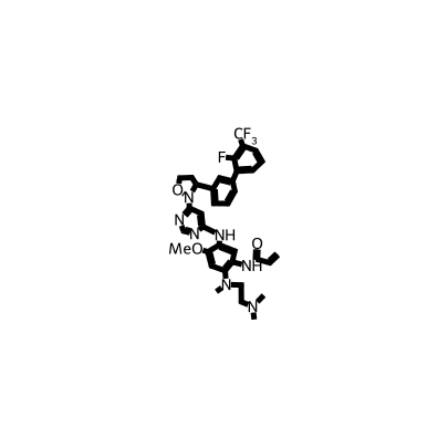 C=CC(=O)Nc1cc(Nc2cc(N3OCCC3c3cccc(-c4cccc(C(F)(F)F)c4F)c3)ncn2)c(OC)cc1N(C)CCN(C)C